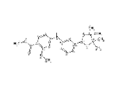 COC(=O)c1ccc(Nc2cccc(B3OC(C)(C)C(C)(C)O3)c2)cc1OC